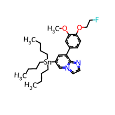 CCC[CH2][Sn]([CH2]CCC)([CH2]CCC)[c]1cc(-c2ccc(OCCF)c(OC)c2)c2nccn2c1